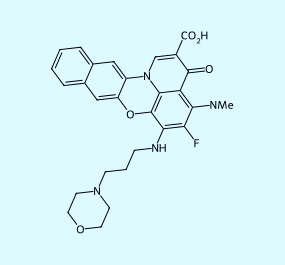 CNc1c(F)c(NCCCN2CCOCC2)c2c3c1c(=O)c(C(=O)O)cn3-c1cc3ccccc3cc1O2